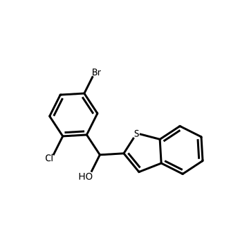 OC(c1cc2ccccc2s1)c1cc(Br)ccc1Cl